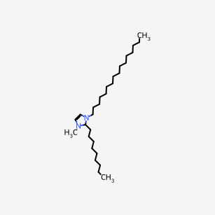 CCCCCCCCCCCCCCCCN1C=CN(C)C1CCCCCCCCC